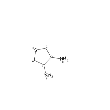 NC1CSCC1N